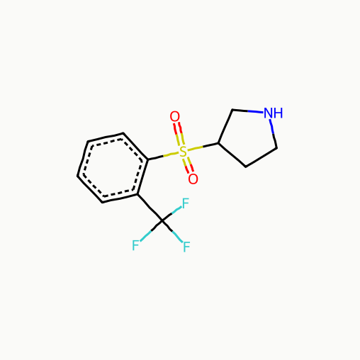 O=S(=O)(c1ccccc1C(F)(F)F)C1CCNC1